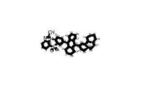 Cc1nc2cccc3c2n1-c1ccc(-c2c4ccccc4c(-c4ccc5ccc6ccccc6c5c4)c4ccccc24)cc1S3(=O)=O